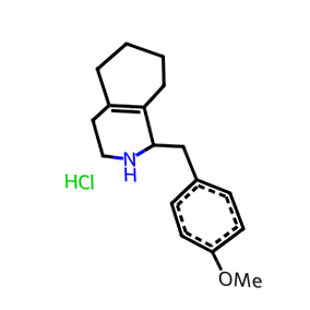 COc1ccc(CC2NCCC3=C2CCCC3)cc1.Cl